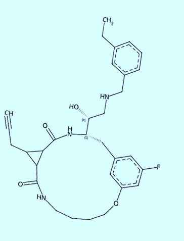 C#CCC1C2C(=O)NCCCCOc3cc(F)cc(c3)C[C@@H]([C@H](O)CNCc3cccc(CC)c3)NC(=O)C12